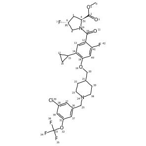 COC(=O)[C@@H]1C[C@@H](F)CN1C(=O)c1cc(C2CC2)c(OCC2CCN(Cc3cc(Cl)cc(OC(F)(F)F)c3)CC2)cc1F